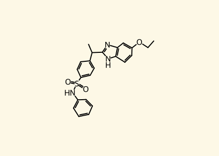 CCOc1ccc2[nH]c(C(C)c3ccc(S(=O)(=O)Nc4ccccc4)cc3)nc2c1